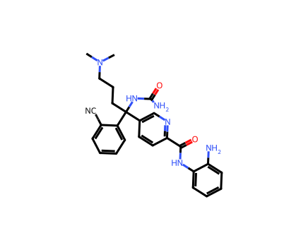 CN(C)CCCC(NC(N)=O)(c1ccc(C(=O)Nc2ccccc2N)nc1)c1ccccc1C#N